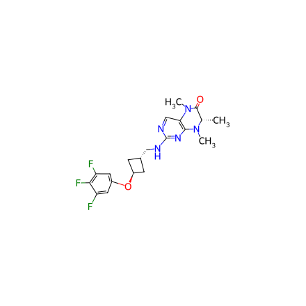 C[C@H]1C(=O)N(C)c2cnc(NC[C@H]3C[C@H](Oc4cc(F)c(F)c(F)c4)C3)nc2N1C